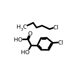 CCCCCCl.O=C(O)C(O)c1ccc(Cl)cc1